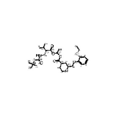 CCOc1ccccc1OCC1CC(C(=O)OC(C)OC(=O)[C@@H](CNC(=O)OC(C)(C)C)C(C)C)CCO1